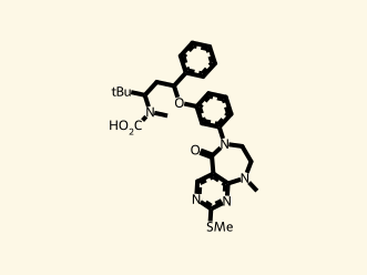 CSc1ncc2c(n1)N(C)CCN(c1cccc(OC(CC(N(C)C(=O)O)C(C)(C)C)c3ccccc3)c1)C2=O